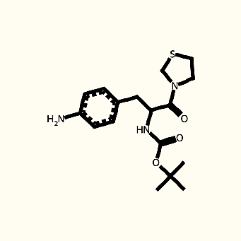 CC(C)(C)OC(=O)NC(Cc1ccc(N)cc1)C(=O)N1CCSC1